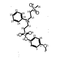 COc1ccc(OS(=O)(=O)CCN(CCS(C)(=O)=O)c2ccccc2)cc1